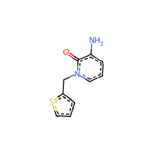 Nc1cccn(Cc2cccs2)c1=O